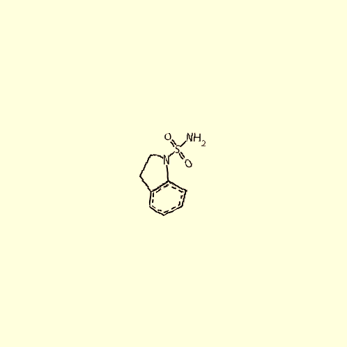 NS(=O)(=O)N1CCc2ccccc21